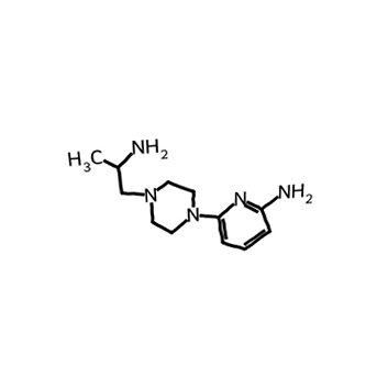 CC(N)CN1CCN(c2cccc(N)n2)CC1